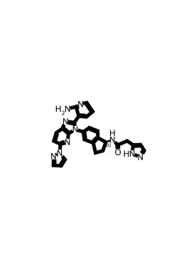 Nc1ncccc1-c1nc2ccc(-n3cccn3)nc2n1-c1ccc2c(c1)CC[C@@H]2NC(=O)Cc1ccn[nH]1